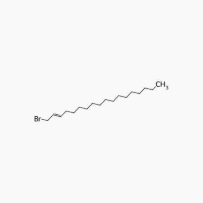 CCCCCCCCCCCCCCC/C=C/CBr